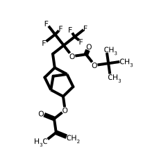 C=C(C)C(=O)OC1CC2CC1CC2CC(OC(=O)OC(C)(C)C)(C(F)(F)F)C(F)(F)F